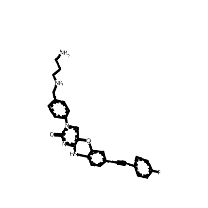 NCCCNCc1ccc(-n2cc3c(nc2=O)Nc2ccc(C#Cc4ccc(F)cc4)cc2O3)cc1